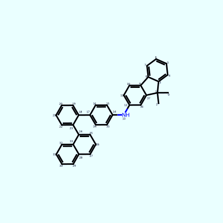 CC1(C)c2ccccc2-c2ccc(Nc3ccc(-c4ccccc4-c4cccc5ccccc45)cc3)cc21